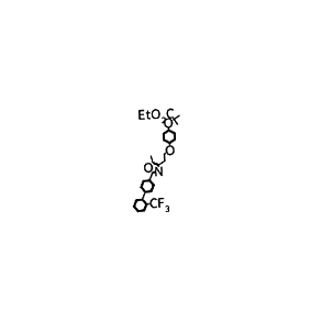 CCOC(=O)C(C)(C)Oc1ccc(OCCc2nc(-c3ccc(-c4ccccc4C(F)(F)F)cc3)oc2C)cc1